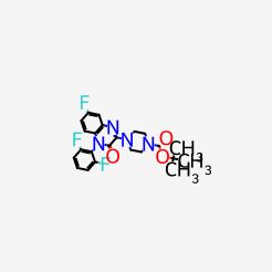 CC(C)(C)OC(=O)N1CCN(c2nc3cc(F)ccc3n(-c3c(F)cccc3F)c2=O)CC1